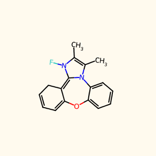 CC1=C(C)N2C(=C3CC=CC=C3Oc3ccccc32)N1F